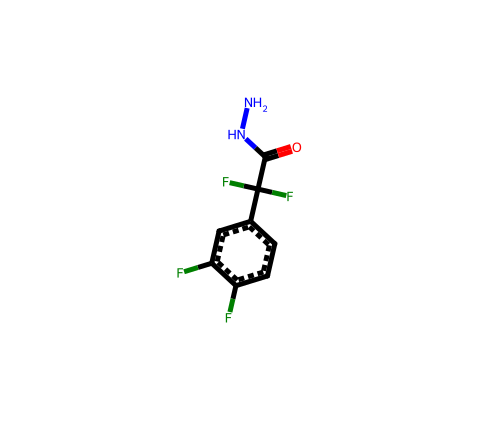 NNC(=O)C(F)(F)c1ccc(F)c(F)c1